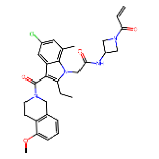 C=CC(=O)N1CC(NC(=O)Cn2c(CC)c(C(=O)N3CCc4c(cccc4OC)C3)c3cc(Cl)cc(C)c32)C1